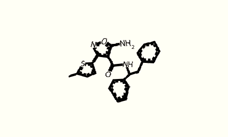 Cc1ccc(-c2noc(N)c2C(=O)NC(Cc2ccccc2)c2ccccc2)s1